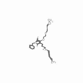 CCCCOCCCc1c(OCCOCCOC)c(I)n(Cc2ccccc2)c1I